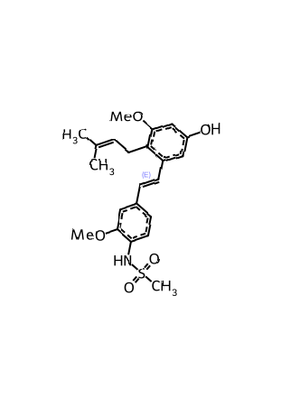 COc1cc(/C=C/c2cc(O)cc(OC)c2CC=C(C)C)ccc1NS(C)(=O)=O